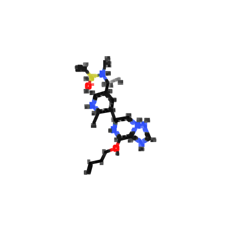 C=CCCOc1nc(-c2cc([C@@H](C)N(CC)[S+]([O-])C(C)(C)C)cnc2C)cn2ncnc12